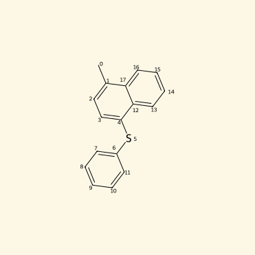 Cc1ccc(Sc2ccccc2)c2ccccc12